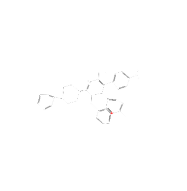 CC1=C(c2ccc(N(C)C)cc2)C(c2ccc(Cl)cc2)C(Cc2ccccc2)C(N2CCN(c3ccccc3)CC2)=N1